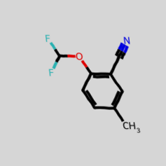 Cc1ccc(OC(F)F)c(C#N)c1